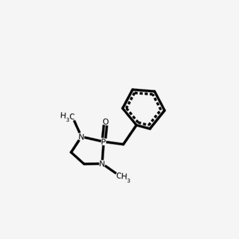 CN1CCN(C)P1(=O)Cc1ccccc1